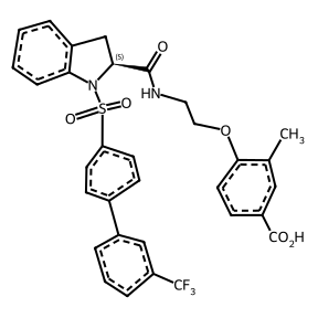 Cc1cc(C(=O)O)ccc1OCCNC(=O)[C@@H]1Cc2ccccc2N1S(=O)(=O)c1ccc(-c2cccc(C(F)(F)F)c2)cc1